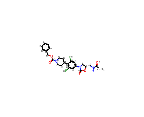 CC(=O)NC[C@H]1CN(c2cc(F)c(C3CCN(C(=O)OCc4ccccc4)CC3)c(F)c2)C(=O)O1